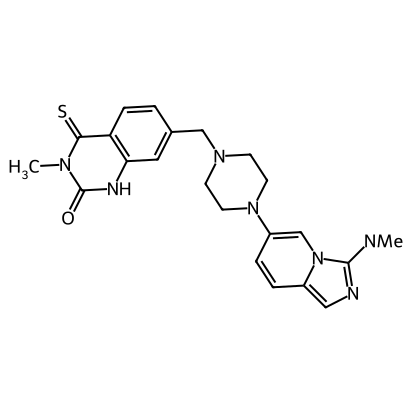 CNc1ncc2ccc(N3CCN(Cc4ccc5c(=S)n(C)c(=O)[nH]c5c4)CC3)cn12